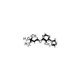 Cc1c(OCCC(C)(C)C)ncnc1-n1cncn1